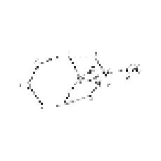 CN1CC2COCC(C1)C2(F)F